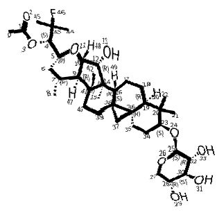 CC(=O)O[C@@H]([C@H]1C[C@@H](C)[C@H]2[C@H](O1)[C@H](O)[C@@]1(C)[C@@H]3CC[C@H]4C(C)(C)[C@@H](O[C@@H]5OC[C@@H](O)[C@H](O)[C@H]5O)CC[C@@]45C[C@@]35CC[C@]21C)C(C)(C)F